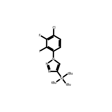 C[C](C)(C)[Sn]([c]1cn(-c2ccc(Cl)c(F)c2I)nn1)([C](C)(C)C)[C](C)(C)C